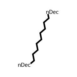 [CH2]CCCCCCCCCCCCCCCCCCCCCCCCCCC[CH2]